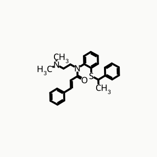 CC(Sc1ccccc1N(CCN(C)C)C(=O)/C=C/c1ccccc1)c1ccccc1